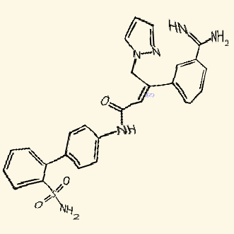 N=C(N)c1cccc(/C(=C/C(=O)Nc2ccc(-c3ccccc3S(N)(=O)=O)cc2)Cn2cccn2)c1